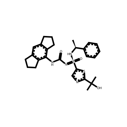 C[C@H](N[S@](=O)(=NC(=O)Nc1c2c(cc3c1CCC3)CCC2)c1cnc(C(C)(C)O)s1)c1ccccc1